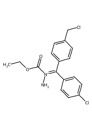 CCOC(=O)[N+](N)=C(c1ccc(Cl)cc1)c1ccc(CCl)cc1